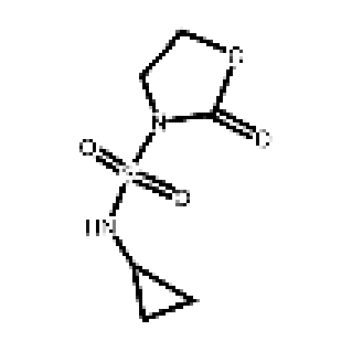 O=C1OCCN1S(=O)(=O)NC1CC1